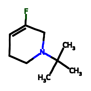 CC(C)(C)N1CCC=C(F)C1